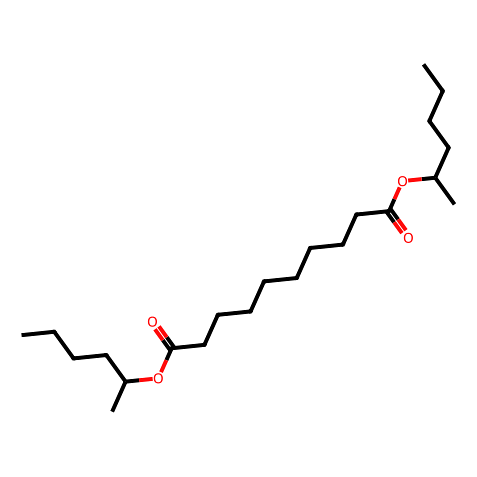 CCCCC(C)OC(=O)CCCCCCCCC(=O)OC(C)CCCC